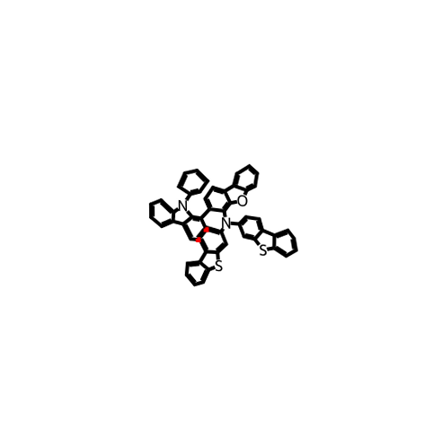 c1ccc(-n2c3ccccc3c3cccc(-c4ccc5c(oc6ccccc65)c4N(c4ccc5c(c4)sc4ccccc45)c4ccc5c(c4)sc4ccccc45)c32)cc1